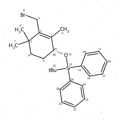 CC1=C(CBr)C(C)(C)CC[C@H]1O[Si](c1ccccc1)(c1ccccc1)C(C)(C)C